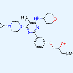 CNCC(O)COc1cccc(-c2nc(NC3CCOCC3)c(C)c(N3CCN(C4CC4)CC3)n2)c1